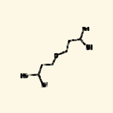 SC(S)CCOCCC(S)S